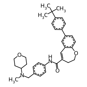 CN(Cc1ccc(NC(=O)C2=Cc3cc(-c4ccc(C(C)(C)C)cc4)ccc3OCC2)cc1)C1CCOCC1